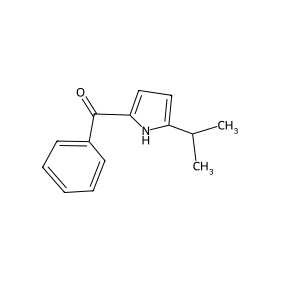 CC(C)c1ccc(C(=O)c2ccccc2)[nH]1